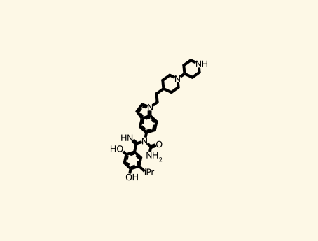 CC(C)c1cc(C(=N)N(C(N)=O)c2ccc3c(ccn3CCC3CCN(C4CCNCC4)CC3)c2)c(O)cc1O